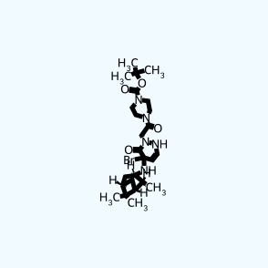 C[C@@H]1[C@H]2C[C@@H](C[C@H]1NC1(Br)C=CNN(CC(=O)N3CCN(C(=O)OC(C)(C)C)CC3)C1=O)C2(C)C